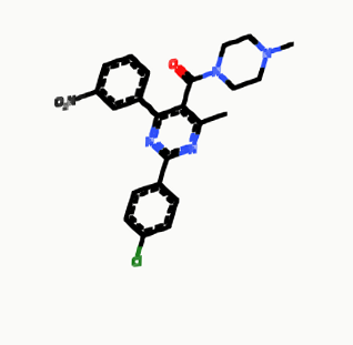 Cc1nc(-c2ccc(Cl)cc2)nc(-c2cccc([N+](=O)[O-])c2)c1C(=O)N1CCN(C)CC1